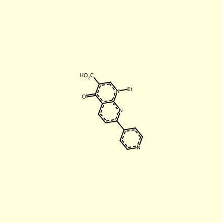 CCn1cc(C(=O)O)c(=O)c2ccc(-c3ccncc3)nc21